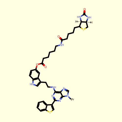 CC(C)n1cnc2c(NCCc3c[nH]c4ccc(OC(=O)CCCCCNC(=O)CCCCC5SC[C@@H]6NC(=O)N[C@H]56)cc34)nc(-c3csc4ccccc34)nc21